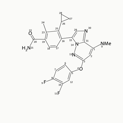 CNc1cc(Oc2ccc(F)c(F)c2)nn2c(-c3ccc(C(N)=O)c(C)c3C3CC3)cnc12